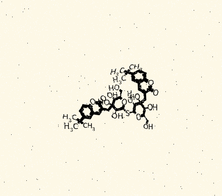 CC(C)(C)c1ccc2oc(=O)c(C[C@]3(O)[C@@H](O)[C@@H](CO)O[C@@H](S[C@@H]4O[C@H](CO)[C@H](O)[C@@](O)(Cc5cc6cc(C(C)(C)C)ccc6oc5=O)[C@H]4O)[C@@H]3O)cc2c1